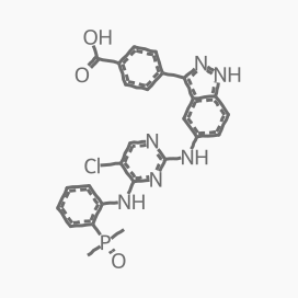 CP(C)(=O)c1ccccc1Nc1nc(Nc2ccc3[nH]nc(-c4ccc(C(=O)O)cc4)c3c2)ncc1Cl